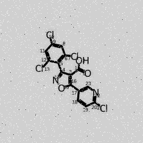 O=C(O)c1c(-c2c(Cl)cc(Cl)cc2Cl)noc1-c1ccc(Cl)nc1